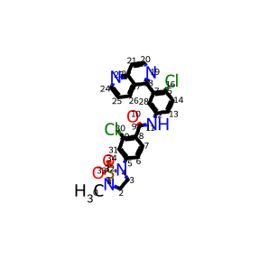 CN1CCN(c2ccc(C(=O)Nc3ccc(Cl)c(-c4nccc5ncccc45)c3)c(Cl)c2)S1(=O)=O